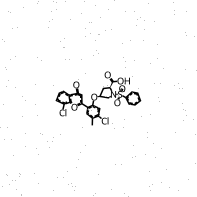 Cc1cc(-c2cc(=O)c3cccc(Cl)c3o2)c(O[C@H]2C[C@@H](C(=O)O)N(S(=O)(=O)c3ccccc3)C2)cc1Cl